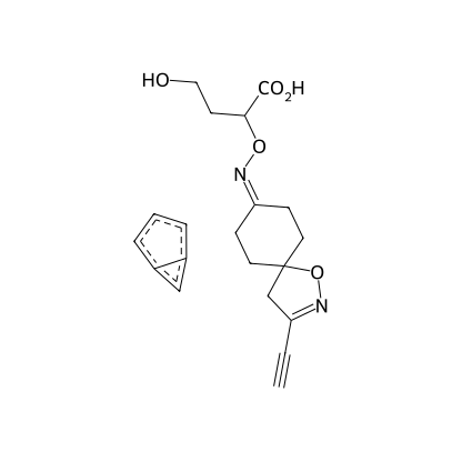 C#CC1=NOC2(CCC(=NOC(CCO)C(=O)O)CC2)C1.c1cc2cc-2c1